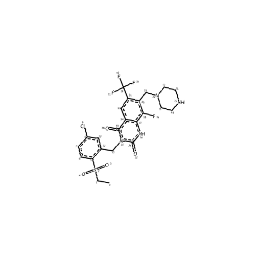 CCS(=O)(=O)c1ccc(Cl)cc1Cn1c(=O)[nH]c2c(F)c(CN3CCNCC3)c(C(F)(F)F)cc2c1=O